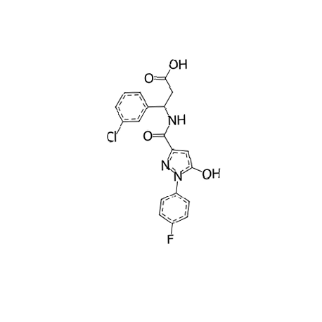 O=C(O)CC(NC(=O)c1cc(O)n(-c2ccc(F)cc2)n1)c1cccc(Cl)c1